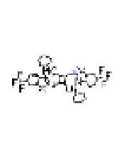 CC1(C)C(/C=C2/C(=O)C(/C=C3\N(Cc4ccccc4)c4ccc(C(F)(F)F)cc4C3(C)C)=C2O)=[N+](Cc2ccccc2)c2ccc(C(F)(F)F)cc21